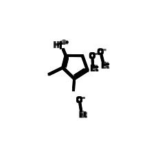 CC1=CC[C]([Hf+3])=C1C.CC[O-].CC[O-].CC[O-]